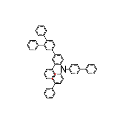 c1ccc(-c2ccc(N(c3ccc(-c4ccccc4)cc3)c3ccc(-c4ccc(-c5ccccc5)c(-c5ccccc5)c4)cc3-c3ccccc3)cc2)cc1